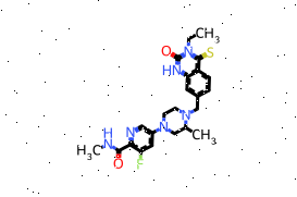 CCn1c(=O)[nH]c2cc(CN3CCN(c4cnc(C(=O)NC)c(F)c4)CC3C)ccc2c1=S